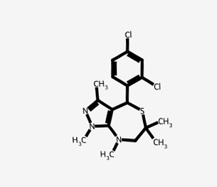 Cc1nn(C)c2c1C(c1ccc(Cl)cc1Cl)SC(C)(C)CN2C